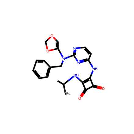 CC(Nc1c(Nc2ccnc(N(Cc3ccccc3)C3=COCO3)n2)c(=O)c1=O)C(C)(C)C